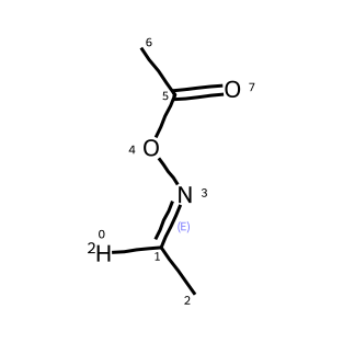 [2H]/C(C)=N\OC(C)=O